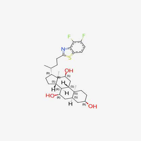 CC(CCc1nc2c(F)c(F)ccc2s1)[C@H]1CC[C@H]2[C@@H]3[C@H](O)C[C@@H]4C[C@H](O)CC[C@]4(C)[C@H]3C[C@H](O)[C@]12C